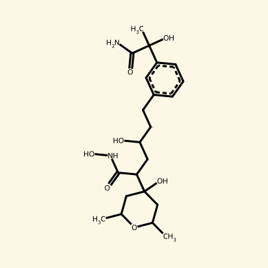 CC1CC(O)(C(CC(O)[CH]Cc2cccc(C(C)(O)C(N)=O)c2)C(=O)NO)CC(C)O1